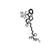 CC1(C)C2=C3C=CC(=O)N(CCCCCCC(=O)NN)C3CCN2c2ccccc21